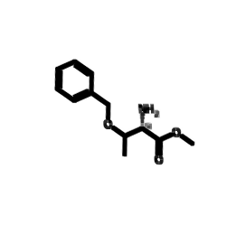 COC(=O)[C@@H](N)C(C)OCc1ccccc1